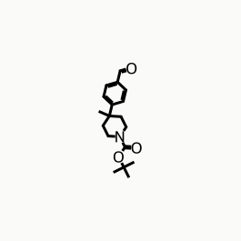 CC(C)(C)OC(=O)N1CCC(C)(c2ccc(C=O)cc2)CC1